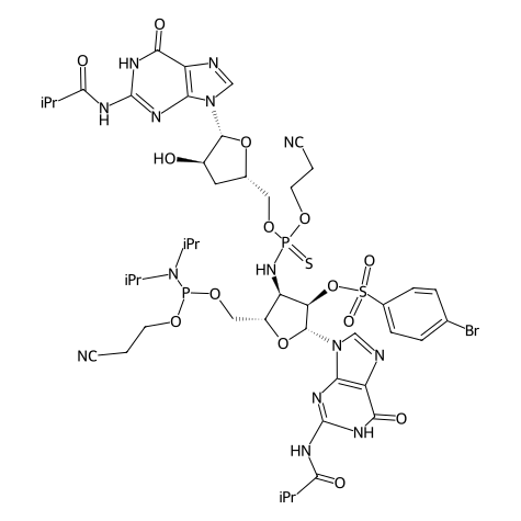 CC(C)C(=O)Nc1nc2c(ncn2[C@@H]2O[C@H](COP(OCCC#N)N(C(C)C)C(C)C)[C@@H](NP(=S)(OCCC#N)OC[C@@H]3C[C@@H](O)[C@H](n4cnc5c(=O)[nH]c(NC(=O)C(C)C)nc54)O3)[C@H]2OS(=O)(=O)c2ccc(Br)cc2)c(=O)[nH]1